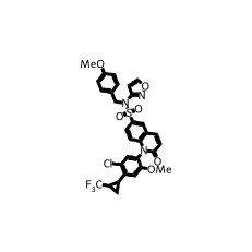 COc1ccc(CN(c2ccon2)S(=O)(=O)c2ccc3c(ccc(=O)n3-c3cc(Cl)c(C4CC4C(F)(F)F)cc3OC)c2)cc1